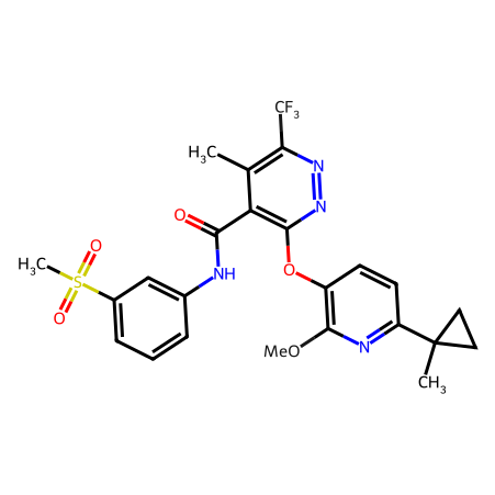 COc1nc(C2(C)CC2)ccc1Oc1nnc(C(F)(F)F)c(C)c1C(=O)Nc1cccc(S(C)(=O)=O)c1